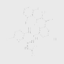 Cc1cc(C(C)Nc2ccc(Cl)nc2-c2noc(=O)[nH]2)c2oc(-c3c(F)cccc3F)c(C)c(=O)c2c1